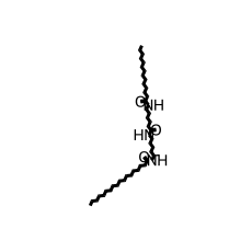 CCCCCCCCCCCCCCCCCC(=O)N[C@H](C)CCCCNC(=O)CCCCCNC(=O)CCCCCCCCCCCCC